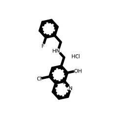 Cl.Oc1c(CNCc2ccccc2F)cc(Cl)c2cccnc12